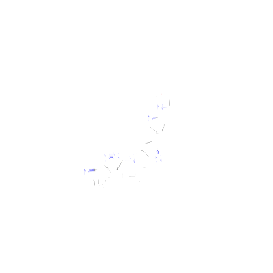 Cc1c(C#N)nnc(N2CCc3ncc(-c4ccc(N5CCOCC5)nc4)cc3C2)c1C